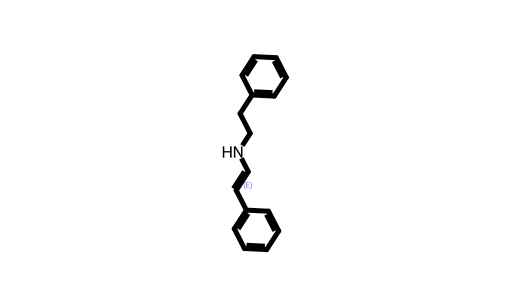 C(=C\c1ccccc1)/NCCc1ccccc1